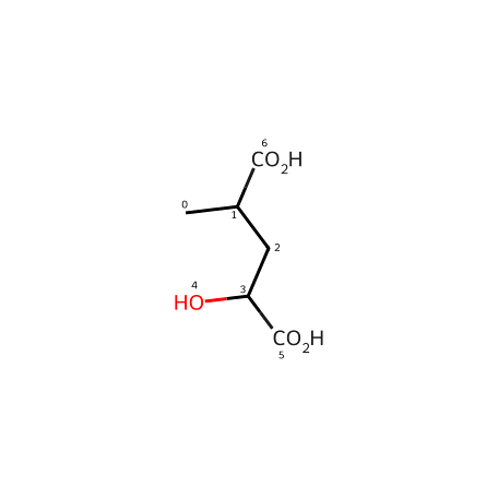 CC(CC(O)C(=O)O)C(=O)O